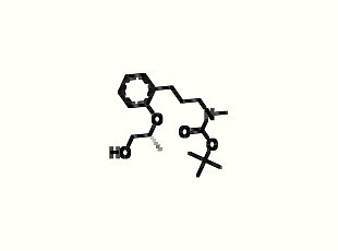 C[C@H](CO)Oc1ccccc1CCCN(C)C(=O)OC(C)(C)C